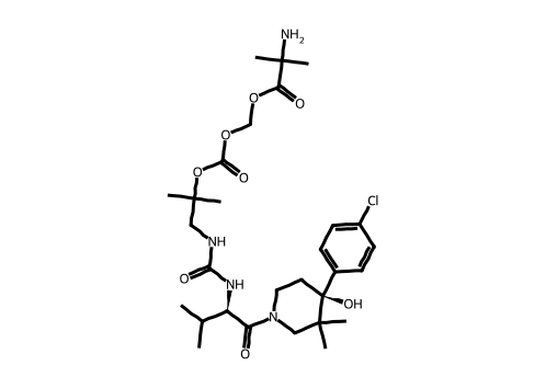 CC(C)[C@@H](NC(=O)NCC(C)(C)OC(=O)OCOC(=O)C(C)(C)N)C(=O)N1CC[C@](O)(c2ccc(Cl)cc2)C(C)(C)C1